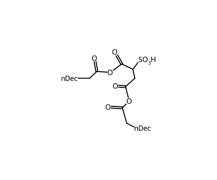 CCCCCCCCCCCC(=O)OC(=O)CC(C(=O)OC(=O)CCCCCCCCCCC)S(=O)(=O)O